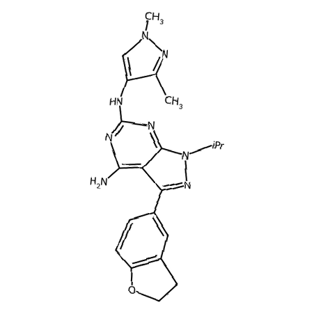 Cc1nn(C)cc1Nc1nc(N)c2c(-c3ccc4c(c3)CCO4)nn(C(C)C)c2n1